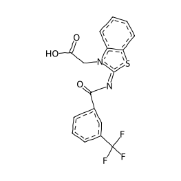 O=C(O)Cn1c(=NC(=O)c2cccc(C(F)(F)F)c2)sc2ccccc21